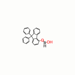 OBOc1cccc2c1-c1ccccc1C2(c1ccccc1)c1ccccc1